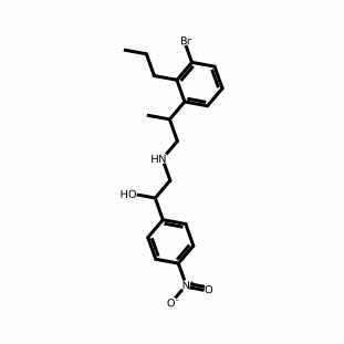 CCCc1c(Br)cccc1C(C)CNCC(O)c1ccc([N+](=O)[O-])cc1